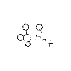 CC(C)(C)OC(=O)N[C@@H](Cc1ccccc1)C(=O)N[C@H]1N=C(c2ccccc2)c2ccccc2-n2cccc21